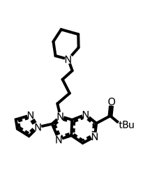 CC(C)(C)C(=O)c1ncc2nc(-n3cccn3)n(CCCCN3CCCCC3)c2n1